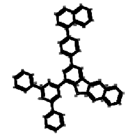 c1ccc(-c2cc(-c3cc(-c4ccc(-c5cccc6ccccc56)cc4)cc4c3oc3cc5ccccc5cc34)nc(-c3ccccc3)n2)cc1